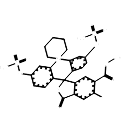 CC(C)(C)OC(=O)c1cc2c(cc1Cl)C(=O)OC21c2ccc(OS(=O)(=O)C(F)(F)F)cc2[Si]2(CCCCC2)c2cc(OS(=O)(=O)C(F)(F)F)ccc21